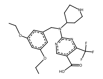 CCOc1cc(CN(c2ncc(C(=O)O)c(C(F)(F)F)n2)C2CCNCC2)cc(OCC)c1